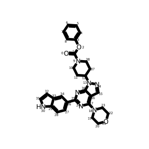 O=C(Oc1ccccc1)N1CCC(n2ncc3c(N4CCOCC4)nc(-c4ccc5[nH]ccc5c4)nc32)CC1